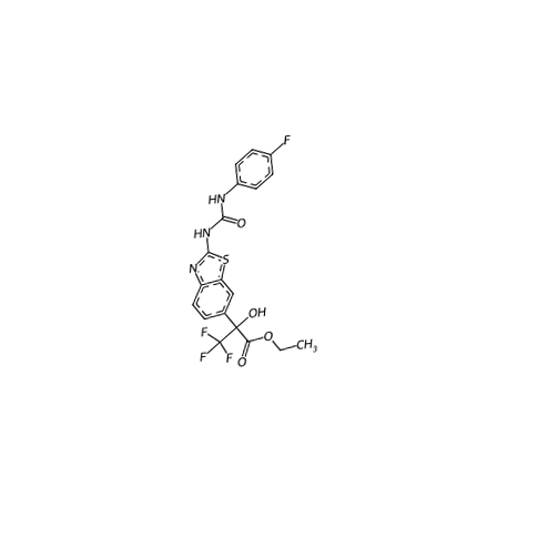 CCOC(=O)C(O)(c1ccc2nc(NC(=O)Nc3ccc(F)cc3)sc2c1)C(F)(F)F